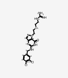 N=C(N)NCCOCCn1ncc2nc(NCc3ccc(Cl)c(Cl)c3)[nH]c(=O)c21